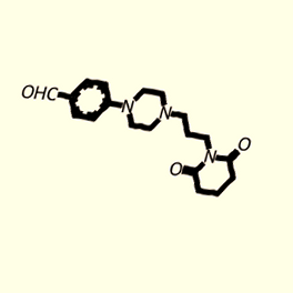 O=Cc1ccc(N2CCN(CCCN3C(=O)CCCC3=O)CC2)cc1